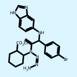 C=C(C(Nc1ccc2[nH]cnc2c1)c1ccc(Br)cc1)N(/N=N\N)C1CCCCC1C(=O)OCC